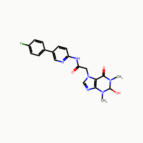 CN1C(=O)c2c(ncn2CC(=O)Nc2ccc(-c3ccc(F)cc3)cn2)N(C)C1O